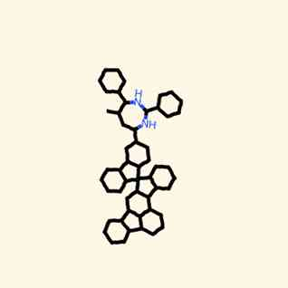 CC1CC(C2CCC3C(C2)C2CCCCC2C32C3CCCCC3C3C4CCCC5C6CCCCC6C(CC32)C54)NC(C2CCCCC2)NC1C1CCCCC1